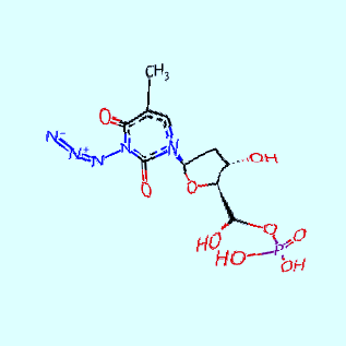 Cc1cn([C@H]2C[C@H](O)[C@@H](C(O)OP(=O)(O)O)O2)c(=O)n(N=[N+]=[N-])c1=O